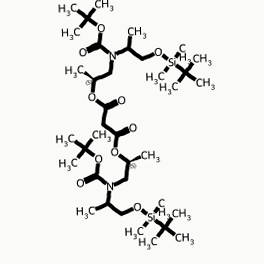 CC(CO[Si](C)(C)C(C)(C)C)N(C[C@H](C)OC(=O)CC(=O)O[C@@H](C)CN(C(=O)OC(C)(C)C)C(C)CO[Si](C)(C)C(C)(C)C)C(=O)OC(C)(C)C